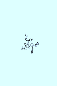 CCOC(=O)CC(C)(CC(=O)OCC)C(C#N)C#N